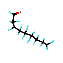 O=C(F)C(F)(F)C(F)C(F)(F)C(F)(F)C(F)(F)C(F)(F)C(F)(F)[C](F)F